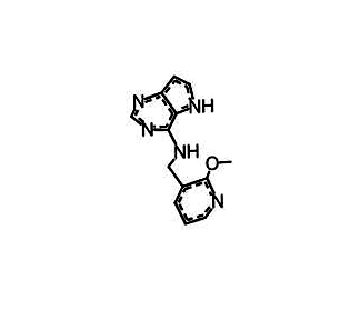 COc1ncccc1CNc1ncnc2cc[nH]c12